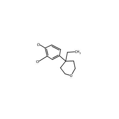 CCC1(c2ccc(Cl)c(Cl)c2)CCOCC1